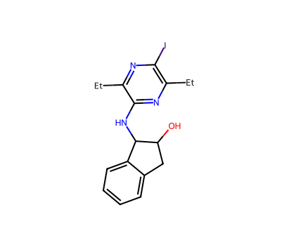 CCc1nc(NC2c3ccccc3CC2O)c(CC)nc1I